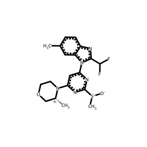 Cc1ccc2nc(C(F)F)n(-c3cc(N4CCOC[C@H]4C)nc([S+](C)[O-])n3)c2c1